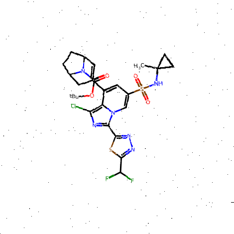 CC1(NS(=O)(=O)c2cc(C3=CC4CCC(C3)N4C(=O)OC(C)(C)C)c3c(Cl)nc(-c4nnc(C(F)F)s4)n3c2)CC1